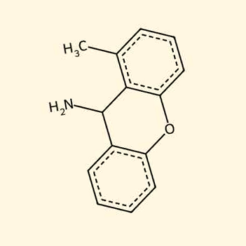 Cc1cccc2c1C(N)c1ccccc1O2